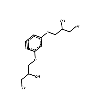 CC(C)CC(O)COc1c#ccc(OCC(O)CC(C)C)c1